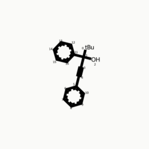 CC(C)(C)C(O)(C#Cc1ccccc1)c1ccccc1